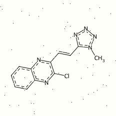 Cn1nnnc1/C=C/c1nc2ccccc2nc1Cl